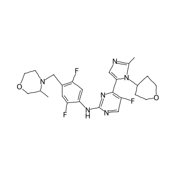 Cc1ncc(-c2nc(Nc3cc(F)c(CN4CCOCC4C)cc3F)ncc2F)n1C1CCOCC1